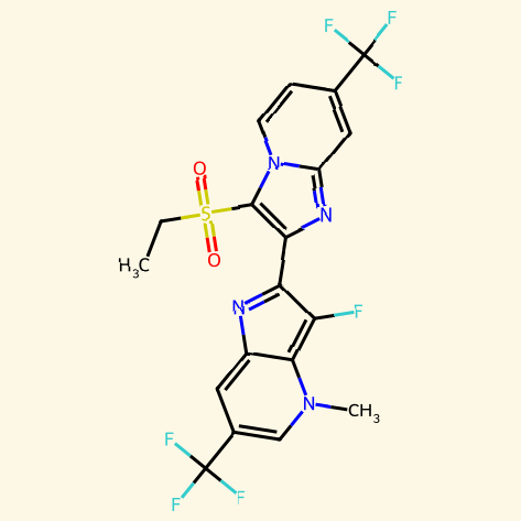 CCS(=O)(=O)c1c(-c2nc3cc(C(F)(F)F)cn(C)c-3c2F)nc2cc(C(F)(F)F)ccn12